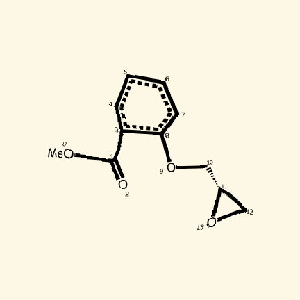 COC(=O)c1ccccc1OC[C@@H]1CO1